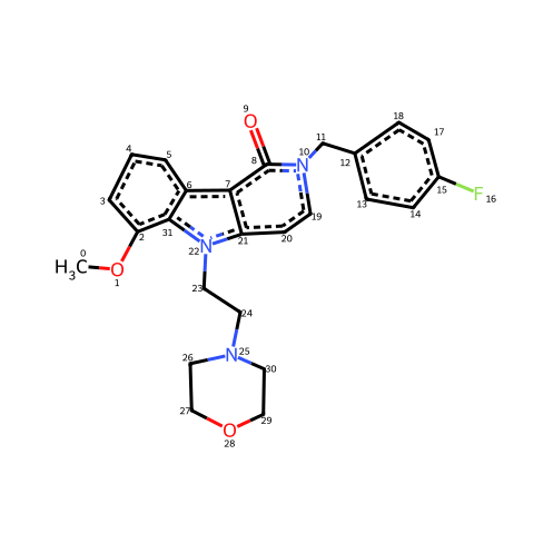 COc1cccc2c3c(=O)n(Cc4ccc(F)cc4)ccc3n(CCN3CCOCC3)c12